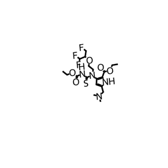 CCOC(=O)NC(=S)N(CCOC(CF)C(F)F)c1cc(CN(C)C)[nH]c1C(=O)OCC